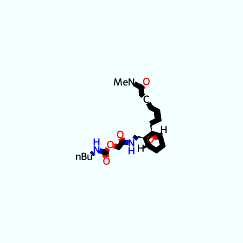 CCCCNC(=O)OCC(=O)NC[C@@H]1[C@H](C/C=C\CCCC(=O)NC)[C@@H]2CC[C@H]1O2